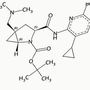 CN(C)C[C@@]12C[C@@H](C(=O)Nc3nc(Br)ccc3C3CC3)N(C(=O)OC(C)(C)C)[C@@H]1C2